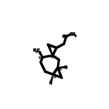 CNCC1C[C@]12C[C@H]1C[C@H]1CC[C@H]2C